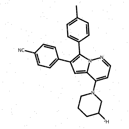 [2H]C1CCCN(c2ccnn3c(-c4ccc(C)cc4)c(-c4ccc(C#N)cc4)cc23)C1